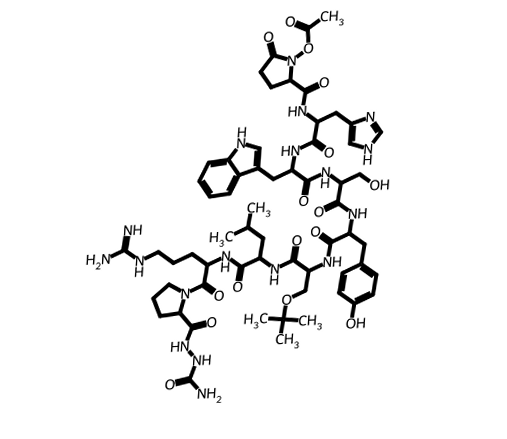 CC(=O)ON1C(=O)CCC1C(=O)NC(Cc1c[nH]cn1)C(=O)NC(Cc1c[nH]c2ccccc12)C(=O)NC(CO)C(=O)NC(Cc1ccc(O)cc1)C(=O)NC(COC(C)(C)C)C(=O)NC(CC(C)C)C(=O)NC(CCCNC(=N)N)C(=O)N1CCCC1C(=O)NNC(N)=O